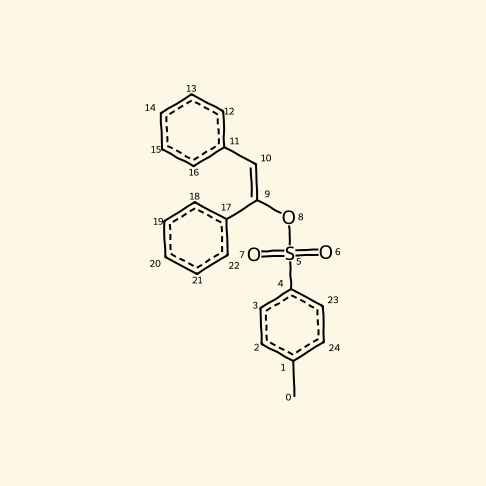 Cc1ccc(S(=O)(=O)OC(=Cc2ccccc2)c2ccccc2)cc1